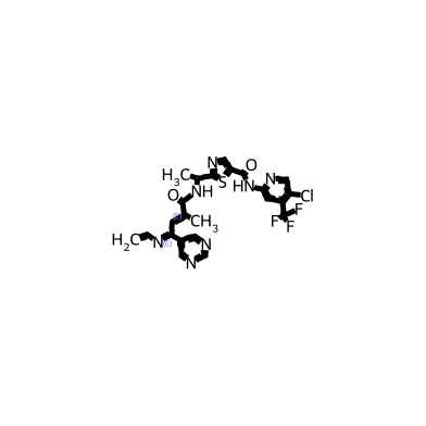 C=C/N=C(\C=C(/C)C(=O)NC(C)c1ncc(C(=O)Nc2cc(C(F)(F)F)c(Cl)cn2)s1)c1cncnc1